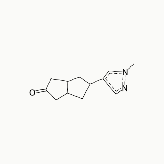 Cn1cc(C2CC3CC(=O)CC3C2)cn1